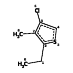 CCc1scc(Cl)c1C